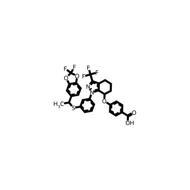 CC(Sc1cccc(-n2nc(C(F)(F)F)c3c2C(Oc2ccc(C(=O)O)cc2)CCC3)c1)c1ccc2c(c1)OC(F)(F)O2